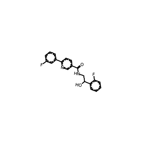 O=C(NCC(O)c1ccccc1F)c1ccc(-c2cccc(F)c2)nc1